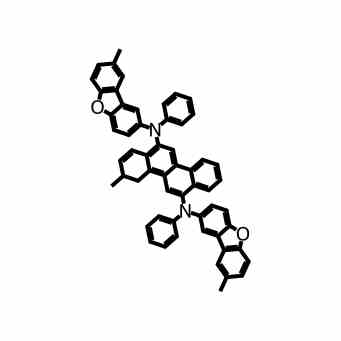 Cc1ccc2oc3ccc(N(c4ccccc4)c4cc5c(cc(N(c6ccccc6)c6ccc7oc8ccc(C)cc8c7c6)c6ccccc65)c5c4C=CC(C)C5)cc3c2c1